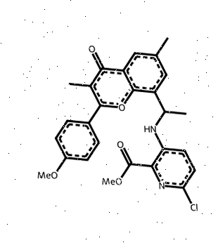 COC(=O)c1nc(Cl)ccc1NC(C)c1cc(C)cc2c(=O)c(C)c(-c3ccc(OC)cc3)oc12